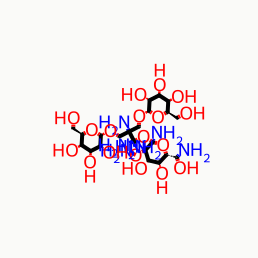 NO[C@]1(N)[C@@H](O)[C@@H](O)[C@@H](C(N)O)O[C@@]1(N)OC(N)(N)C(N)(CO[C@@H]1O[C@H](CO)[C@H](O)[C@H](O)[C@H]1O)CO[C@@H]1O[C@H](CO)[C@H](O)[C@H](O)[C@H]1O